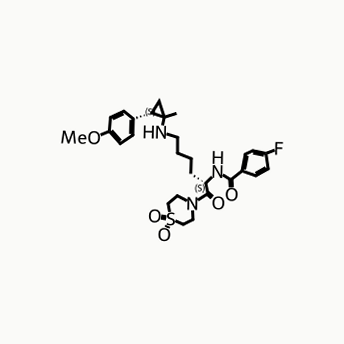 COc1ccc([C@@H]2CC2(C)NCCCC[C@H](NC(=O)c2ccc(F)cc2)C(=O)N2CCS(=O)(=O)CC2)cc1